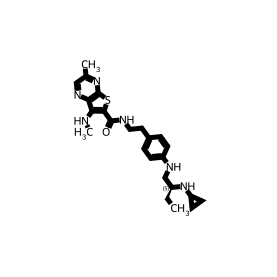 CC[C@@H](CNc1ccc(CCNC(=O)c2sc3nc(C)cnc3c2NC)cc1)NC1CC1